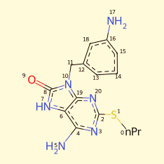 CCCSc1nc(N)c2[nH]c(=O)n(Cc3cccc(N)c3)c2n1